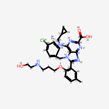 Cc1ccc(OCCCNCCO)c(-c2nc3nc(C(=O)O)nc(N[C@H](C)C4CC4)c3n2Cc2ccc(Cl)cc2)c1